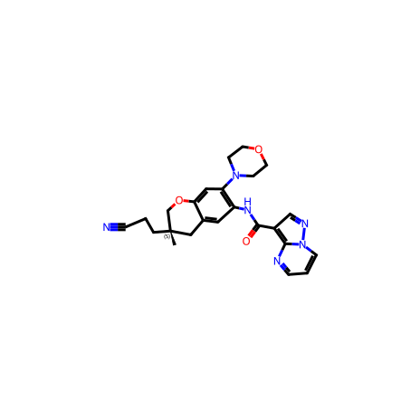 C[C@@]1(CCC#N)COc2cc(N3CCOCC3)c(NC(=O)c3cnn4cccnc34)cc2C1